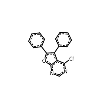 Clc1ncnc2oc(-c3ccccc3)c(-c3ccccc3)c12